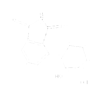 O=C1NC(=O)c2c1cccc2[C@@H]1CCC[C@H](O)[C@@H]1O